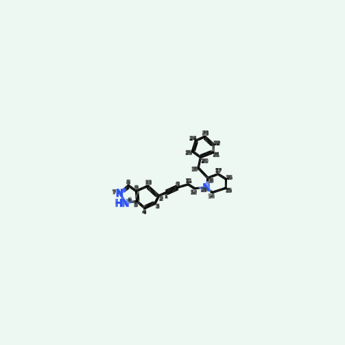 C(#Cc1ccc2[nH]ncc2c1)CCN1CCCCC1Cc1ccccc1